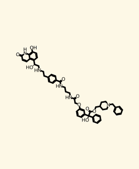 O=C(COc1cccc([C@](O)(C(=O)OCC2CCN(Cc3ccccc3)CC2)c2ccccc2)c1)NCCCNC(=O)c1ccc(CCNC[C@H](O)c2ccc(O)c3[nH]c(=O)ccc23)cc1